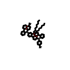 CCCCCCCCC1(CCCCCCCC)c2cc(N(c3ccc(Br)cc3)c3ccccc3-c3ccccc3)ccc2-c2ccc(N(c3ccc(Br)cc3)c3ccccc3-c3ccccc3)cc21